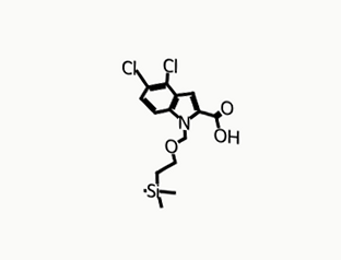 C[Si](C)(C)CCOCn1c(C(=O)O)cc2c(Cl)c(Cl)ccc21